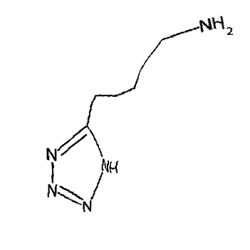 NCCCc1nnn[nH]1